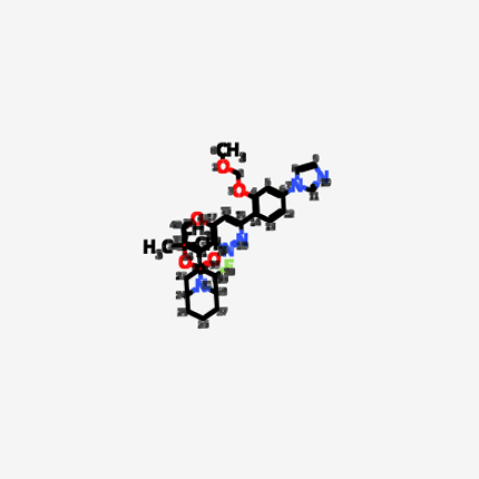 COCOc1cc(-n2ccnc2)ccc1-c1cc2c(nn1)C([C@@H]1CC3CCCC([C@@H]1F)N3C(=O)OC(C)(C)C)=CCO2